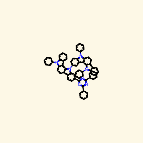 c1ccc(-c2nc(-c3ccccc3)nc(-c3ccc4c5ccc6c(c7ccccc7n6-c6ccccc6)c5n(-c5ccc6c(c5)c5c(ccc7c8ccccc8n(-c8ccccc8)c75)n6-c5ccccc5)c4c3)n2)cc1